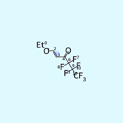 CCO/C=C/C(=O)C(F)(F)C(F)(F)C(F)(F)F